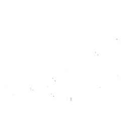 Br.CC(C)(C)c1cc(C(=O)CN2Cc3ccc(C4CC4)nc3C2=N)cc(N2CCC(O)C2)c1OCC(=O)O